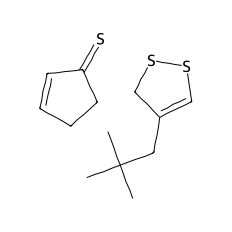 CC(C)(C)CC1=CSSC1.S=C1C=CCC1